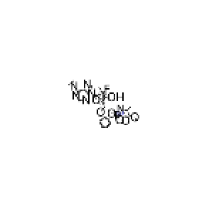 COC(=O)C(C)/N=[P+](\[O-])Oc1ccccc1OC[C@H]1OC(n2cnc3c(N4CC4)ncnc32)[C@](C)(F)[C@@H]1O